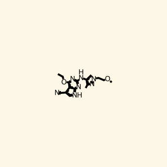 CCOc1nc(Nc2cn(CCOC)nc2C)nc2[nH]cc(C#N)c12